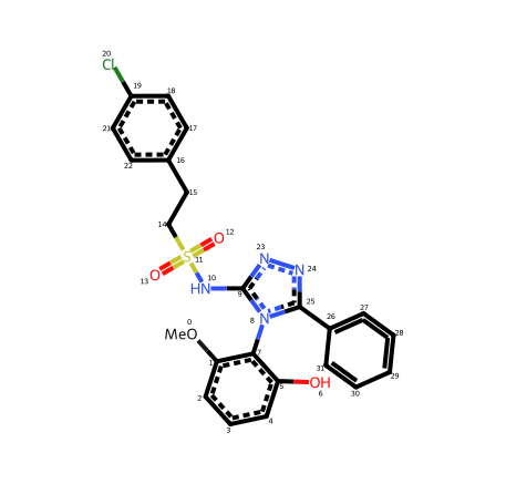 COc1cccc(O)c1-n1c(NS(=O)(=O)CCc2ccc(Cl)cc2)nnc1C1=C=C=CC=C1